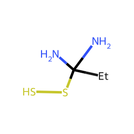 CCC(N)(N)SS